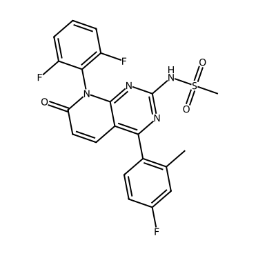 Cc1cc(F)ccc1-c1nc(NS(C)(=O)=O)nc2c1ccc(=O)n2-c1c(F)cccc1F